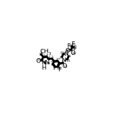 CCc1cc(Cc2ccc(F)c(C(=O)N3CCN(OC(=O)C(F)(F)F)CC3)c2)n[nH]c1=O